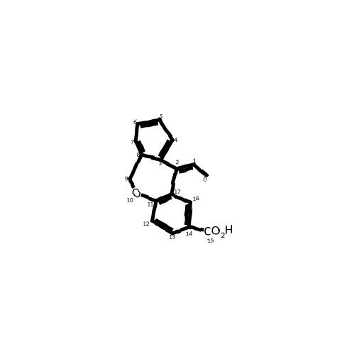 C/C=C1/c2ccccc2COc2ccc(C(=O)O)cc21